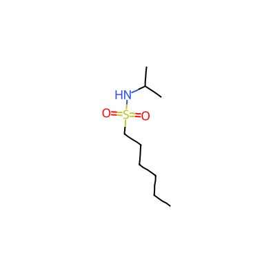 CCCCCCS(=O)(=O)NC(C)C